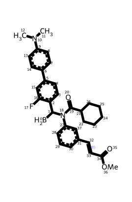 BC(c1ccc(-c2ccc(N(C)C)cc2)cc1F)N(C(=O)C1CCCCC1)c1cccc(/C=C/C(=O)OC)c1